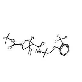 CC(C)(COc1ccccc1C(F)(F)F)NC(=O)[C@H]1[C@@H]2CN(C(=O)OC(C)(C)C)C[C@@H]21